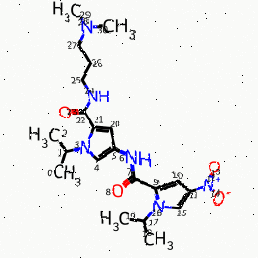 CC(C)n1cc(NC(=O)c2cc([N+](=O)[O-])cn2C(C)C)cc1C(=O)NCCCN(C)C